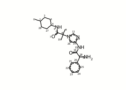 CC1CCC(NC(=O)C(C)(C)n2cnc(NC(=O)[C@@H](N)c3ccccc3)c2)CC1